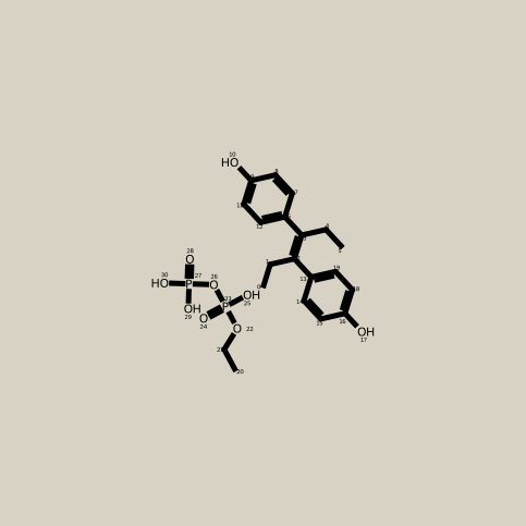 CC/C(=C(/CC)c1ccc(O)cc1)c1ccc(O)cc1.CCOP(=O)(O)OP(=O)(O)O